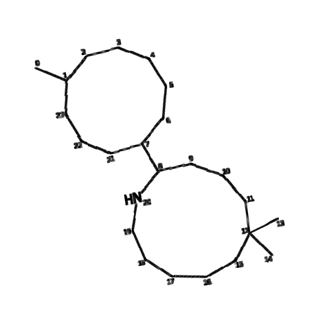 CC1CCCCCC(C2CCCC(C)(C)CCCCCN2)CCC1